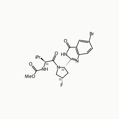 COC(=O)N[C@H](C(=O)N1C[C@@H](F)C[C@H]1c1nc2ccc(Br)cc2c(=O)[nH]1)C(C)C